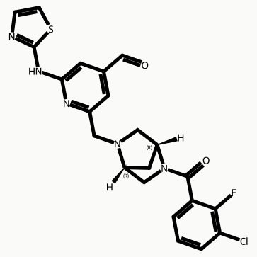 O=Cc1cc(CN2C[C@H]3C[C@@H]2CN3C(=O)c2cccc(Cl)c2F)nc(Nc2nccs2)c1